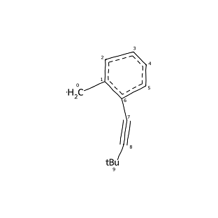 [CH2]c1ccccc1C#CC(C)(C)C